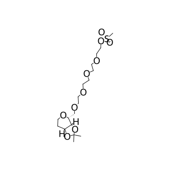 CC1(C)O[C@H]2[C@@H](COCCOCCOCCOCCOS(C)(=O)=O)OCC[C@H]2O1